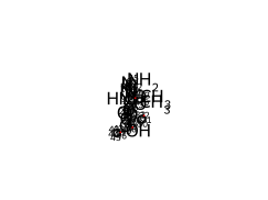 CC1(C)OC2C(O1)[C@](C=N)(c1ccc3c(N)ncnn13)O[C@@H]2COP(=O)(OCc1ccccc1)OC[C@@H](CO)OCc1ccccc1